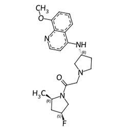 COc1cccc2c(N[C@@H]3CCN(CC(=O)N4C[C@@H](F)C[C@H]4C)C3)ccnc12